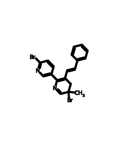 CC1(Br)C=NC(c2ccc(Br)nc2)=C(/C=C/c2ccccc2)C1